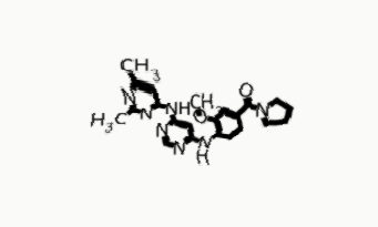 COc1cc(C(=O)N2CCCC2)ccc1Nc1cc(Nc2cc(C)nc(C)n2)ncn1